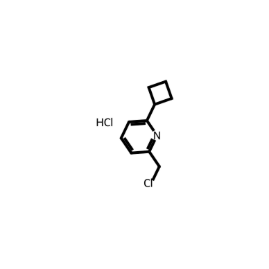 Cl.ClCc1cccc(C2CCC2)n1